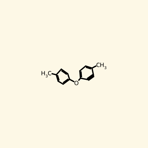 Cc1c#cc(Oc2ccc(C)cc2)cc1